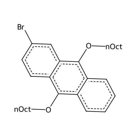 CCCCCCCCOc1c2ccccc2c(OCCCCCCCC)c2cc(Br)ccc12